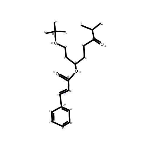 CC(C)C(=O)CCC(CCOC(C)(C)C)OC(=O)/C=C/c1ccccc1